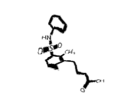 Cc1c(CCCC(=O)O)cccc1S(=O)(=O)Nc1ccccc1